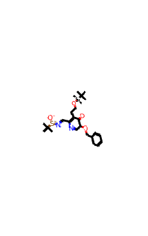 CC(C)(C)[S+]([O-])N=CC1=C(CCO[Si](C)(C)C(C)(C)C)C(=O)C(OCc2ccccc2)C=N1